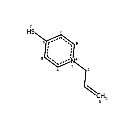 C=CC[n+]1ccc(S)cc1